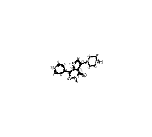 Cn1nc(-c2ccncc2)c2scc(N3CCNCC3)c2c1=O